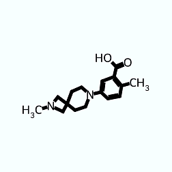 Cc1ccc(N2CCC3(CC2)CN(C)C3)cc1C(=O)O